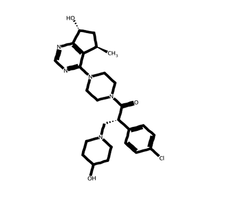 C[C@@H]1C[C@@H](O)c2ncnc(N3CCN(C(=O)[C@@H](CN4CCC(O)CC4)c4ccc(Cl)cc4)CC3)c21